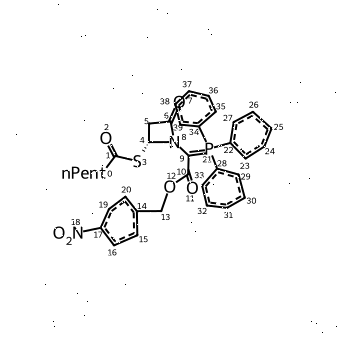 CCCCCC(=O)S[C@@H]1CC(=O)N1C(C(=O)OCc1ccc([N+](=O)[O-])cc1)=P(c1ccccc1)(c1ccccc1)c1ccccc1